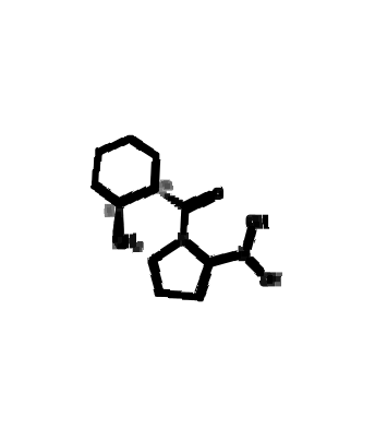 N[C@H]1CCCC[C@@H]1C(=O)N1CCCC1B(O)O